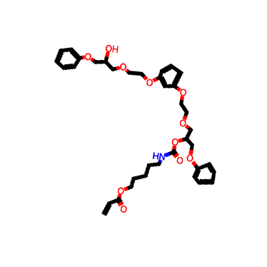 C=CC(=O)OCCCCCNC(=O)OC(COCCOc1cccc(OCCOCC(O)COc2ccccc2)c1)COc1ccccc1